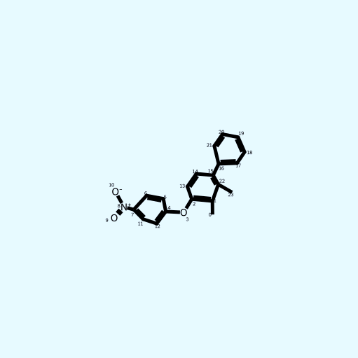 Cc1c(Oc2ccc([N+](=O)[O-])cc2)ccc(-c2ccccc2)c1C